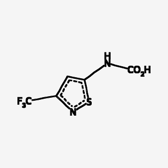 O=C(O)Nc1cc(C(F)(F)F)ns1